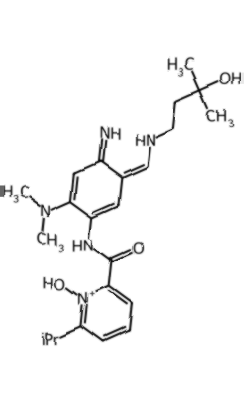 CC(C)c1cccc(C(=O)NC2=C/C(=C/NCCC(C)(C)O)C(=N)C=C2N(C)C)[n+]1O